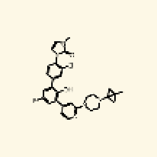 Cn1ccn(-c2ccc(-c3cc(F)cc(-c4ccnc(N5CCN(C67CC6(C)C7)CC5)c4)c3O)cc2Cl)c1=O